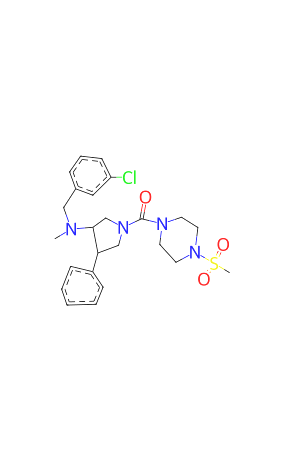 CN(Cc1cccc(Cl)c1)C1CN(C(=O)N2CCN(S(C)(=O)=O)CC2)CC1c1ccccc1